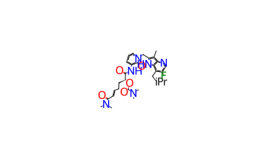 Cc1c(Cn2cccc(NC(=O)[C@H](CC/C=C/C(=O)N(C)C)OC(=O)N(C)C)c2=O)[nH]c2c(CC(C)C)c(F)cnc12